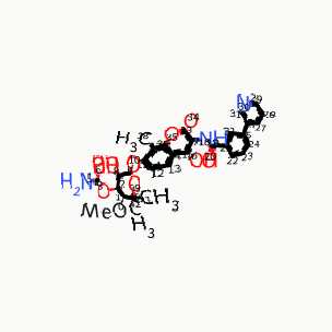 CO[C@@H]1[C@@H](OC(N)O)[C@@H](O)[C@H](Oc2ccc3c(O)c(NC(=O)c4cccc(-c5cccnc5)c4)c(=O)oc3c2C)OC1(C)C